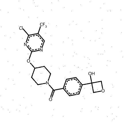 O=C(c1ccc(C2(O)COC2)cc1)N1CCC(Oc2ncc(C(F)(F)F)c(Cl)n2)CC1